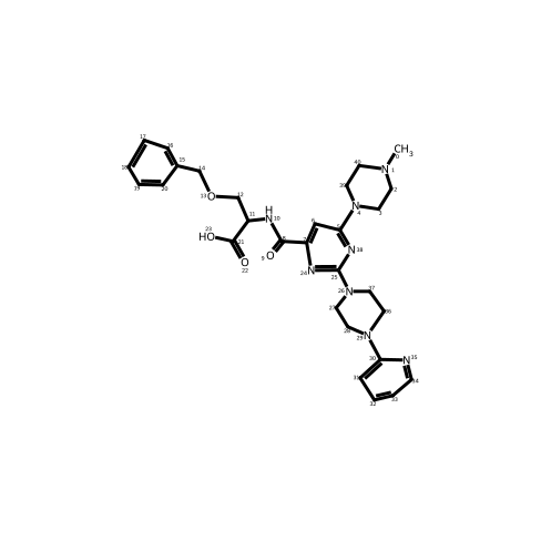 CN1CCN(c2cc(C(=O)NC(COCc3ccccc3)C(=O)O)nc(N3CCN(c4ccccn4)CC3)n2)CC1